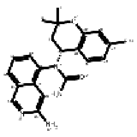 CC1(C)C[C@@H](N(C(N)=O)c2cccc3cnc(N)cc23)c2ccc(F)cc2O1